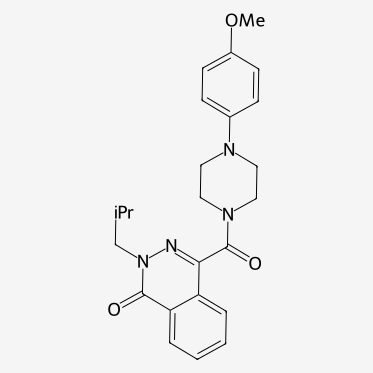 COc1ccc(N2CCN(C(=O)c3nn(CC(C)C)c(=O)c4ccccc34)CC2)cc1